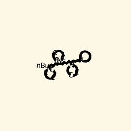 CCCCC(CCCCC(CCCCC(CCCCN1CCCCCCCCCCC1)N1CCCCCCCCCCC1)N1CCCCCCCCCCC1)N1CCCCCCCCCCC1